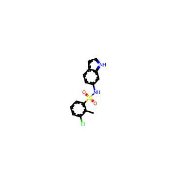 Cc1c(Cl)cccc1S(=O)(=O)Nc1ccc2cc[nH]c2c1